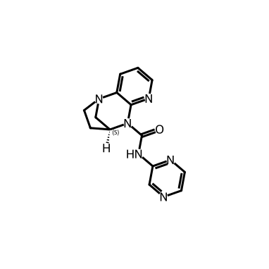 O=C(Nc1cnccn1)N1c2ncccc2N2CC[C@H]1C2